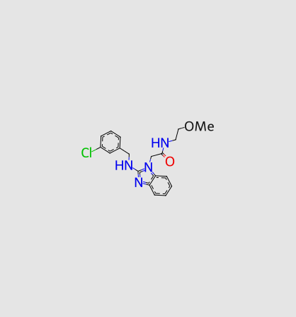 COCCNC(=O)Cn1c(NCc2cccc(Cl)c2)nc2ccccc21